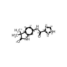 CC1(C)C(=O)Nc2cc(NC(=O)c3nc[nH]n3)ccc21